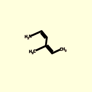 C/C=C(C)\C=C/N